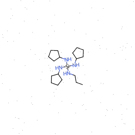 CCCN[Si](NC1CCCC1)(NC1CCCC1)NC1CCCC1